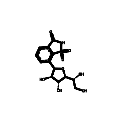 O=C1NS(=O)(=O)c2c1cccc2C1O[C@@H]([C@H](O)CO)[C@H](O)[C@H]1O